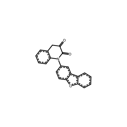 O=C1Cc2ccccc2N(c2ccc3oc4ccccc4c3c2)C1=O